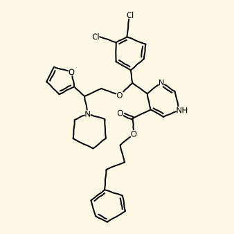 O=C(OCCCc1ccccc1)C1=CNC=NC1C(OCC(c1ccco1)N1CCCCC1)c1ccc(Cl)c(Cl)c1